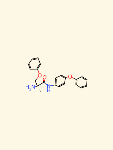 C[C@](N)(COc1ccccc1)C(=O)Nc1ccc(Oc2ccccc2)cc1